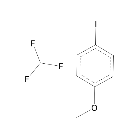 COc1ccc(I)cc1.FC(F)F